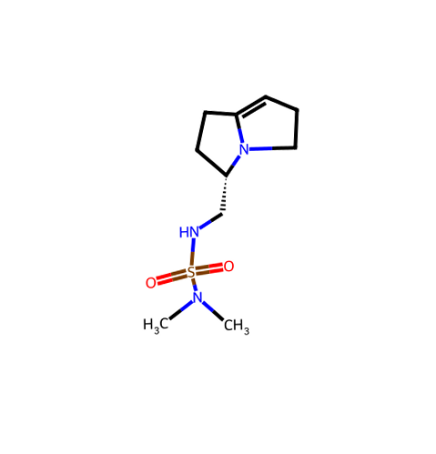 CN(C)S(=O)(=O)NC[C@@H]1CCC2=CCCN21